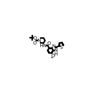 COc1ccc(C(=O)N[C@H]2CCCN(C(=O)OC(C)(C)C)C2)c2nc(-c3cccs3)[nH]c12